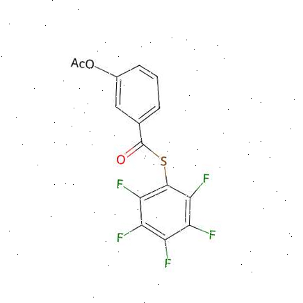 CC(=O)Oc1cccc(C(=O)Sc2c(F)c(F)c(F)c(F)c2F)c1